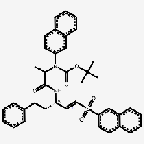 CC(C(=O)N[C@H](/C=C/S(=O)(=O)c1ccc2ccccc2c1)CCc1ccccc1)N(C(=O)OC(C)(C)C)c1ccc2ccccc2c1